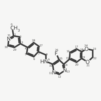 Cc1cc(-c2ccc(CNc3ncnc(-c4ccc5c(c4)OCCO5)c3F)cc2)ccn1